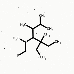 CCC(C)(CC)C(C(C)CF)C(C)C(C)C